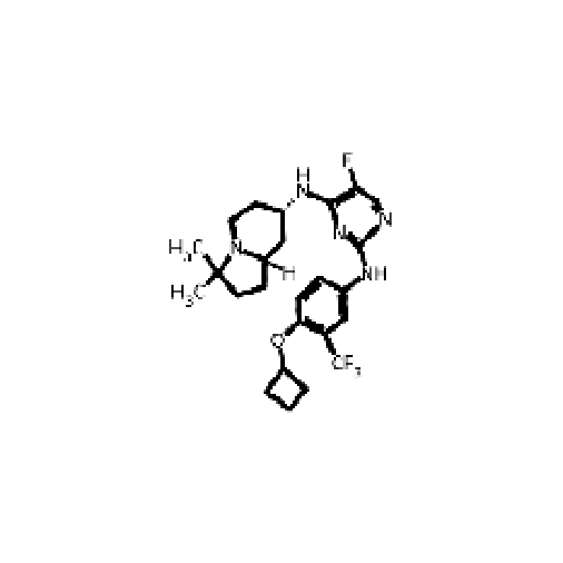 CC1(C)CC[C@H]2C[C@@H](Nc3nc(Nc4ccc(OC5CCC5)c(C(F)(F)F)c4)ncc3F)CCN21